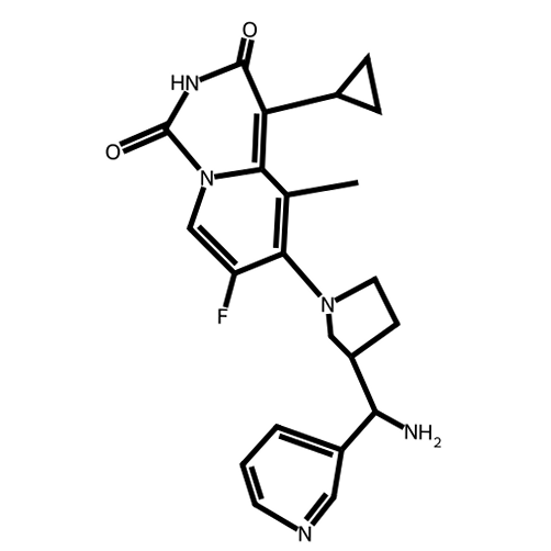 Cc1c(N2CCC(C(N)c3cccnc3)C2)c(F)cn2c(=O)[nH]c(=O)c(C3CC3)c12